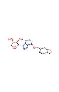 C[C@H]1O[C@@H](n2cnc3c(OCc4ccc5c(c4)OCC5)ncnc32)[C@H](O)[C@@H]1O